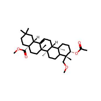 COC[C@]1(C)C2CC[C@]3(C)[C@H](CC=C4[C@H]5CC(C)(C)CC[C@]5(C(=O)OC)CC[C@]43C)[C@@]2(C)CC[C@@H]1OC(C)=O